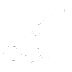 CCOC(=O)CCc1ccc(OCc2c(F)cccc2-c2ccc(C(C)=O)cc2)cc1